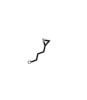 ClCCCC1CS1